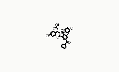 O=C(O)C[C@@H](c1ccc(Cl)cc1)N1C(=O)c2cc(C(=O)c3ccccn3)cc(F)c2C1(O)c1ccc(Cl)cc1